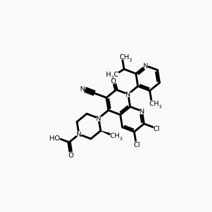 Cc1ccnc(C(C)C)c1-n1c(=O)c(C#N)c(N2CCN(C(=O)O)C[C@@H]2C)c2cc(Cl)c(Cl)nc21